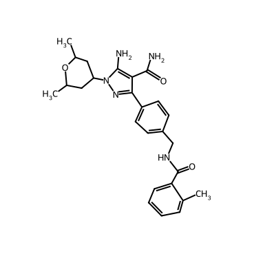 Cc1ccccc1C(=O)NCc1ccc(-c2nn(C3CC(C)OC(C)C3)c(N)c2C(N)=O)cc1